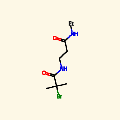 CCNC(=O)CCNC(=O)C(C)(C)Br